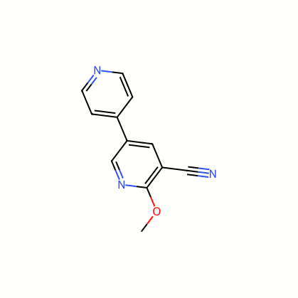 COc1ncc(-c2ccncc2)cc1C#N